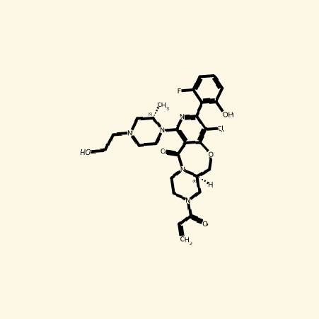 C=CC(=O)N1CCN2C(=O)c3c(N4CCN(CCO)C[C@@H]4C)nc(-c4c(O)cccc4F)c(Cl)c3OC[C@H]2C1